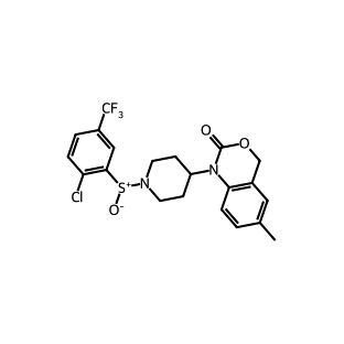 Cc1ccc2c(c1)COC(=O)N2C1CCN([S+]([O-])c2cc(C(F)(F)F)ccc2Cl)CC1